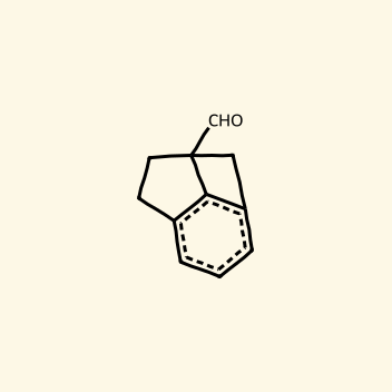 O=CC12CCc3cccc(c31)C2